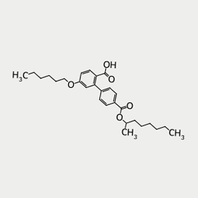 CCCCCCOc1ccc(C(=O)O)c(-c2ccc(C(=O)OC(C)CCCCCC)cc2)c1